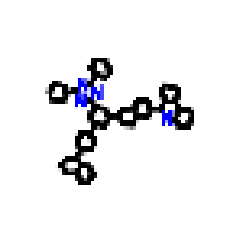 c1ccc(-c2nc(-c3ccccc3)nc(-c3cc(-c4ccc(-c5cccc6ccccc56)cc4)cc(-c4ccc5cc(-c6nc7ccccc7c7ccccc67)ccc5c4)c3)n2)cc1